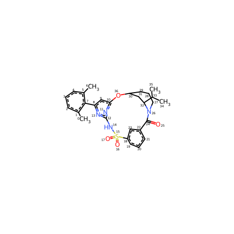 Cc1cccc(C)c1-c1cc2nc(n1)NS(=O)(=O)c1cccc(c1)C(=O)N1CCCC(CC1C(C)C)O2